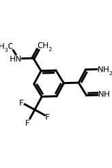 C=C(NC)c1cc(/C(C=N)=C/N)cc(C(F)(F)F)c1